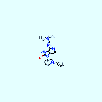 CN(C)/C=N/c1nccc2c1[nH]c(=O)n2[C@@H]1CCCN(C(=O)O)C1